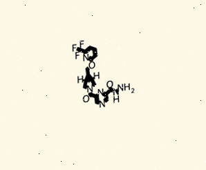 NNC(=O)c1cncc(C(=O)N2C[C@@H]3C(COc4cccc(C(F)(F)F)n4)[C@@H]3C2)n1